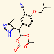 CC(=O)OC(OC=O)C(c1ccc(OCC(C)C)c(C#N)c1)c1[nH]cnc1C